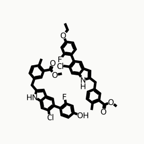 CCOc1ccc(-c2cc3cc(Cc4ccc(C)c(C(=O)OC)c4)[nH]c3cc2Cl)c(F)c1.COC(=O)c1cc(Cc2cc3cc(-c4ccc(O)cc4F)c(Cl)cc3[nH]2)ccc1C